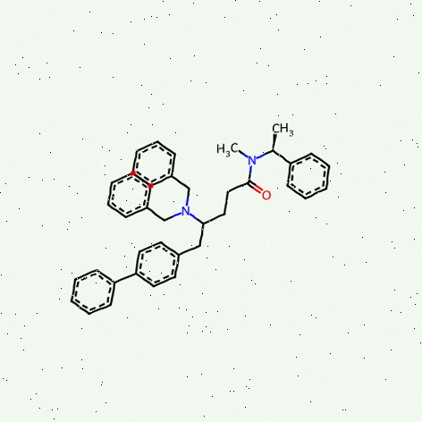 C[C@@H](c1ccccc1)N(C)C(=O)CCC(Cc1ccc(-c2ccccc2)cc1)N(Cc1ccccc1)Cc1ccccc1